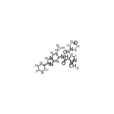 Cn1ncc(C(=O)N2CCOCC2)c1C(=O)Nc1cc2nc(-c3ccccc3)cn2cc1C1CC1